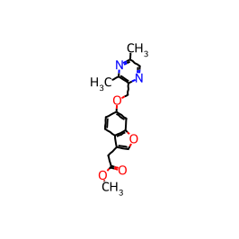 COC(=O)Cc1coc2cc(OCc3ncc(C)nc3C)ccc12